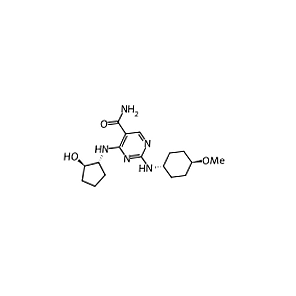 CO[C@H]1CC[C@H](Nc2ncc(C(N)=O)c(N[C@@H]3CCC[C@H]3O)n2)CC1